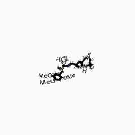 COc1cc(OC)c(OC)cc1CN(C)C(=O)/C=C/c1cnc2c(c1)CN(C)CC(=O)N2.Cl